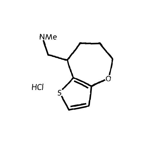 CNCC1CCCOc2ccsc21.Cl